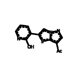 CC(=O)c1cnn2cc(-c3cccnc3O)sc12